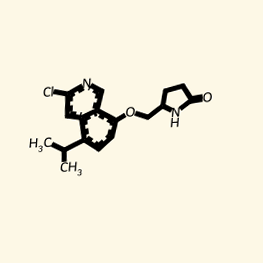 CC(C)c1ccc(OCC2CCC(=O)N2)c2cnc(Cl)cc12